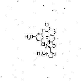 Cn1ccnc1-c1nnc(Cc2ccc(Cl)c(Oc3cc(N)cc(Cl)c3)c2F)o1